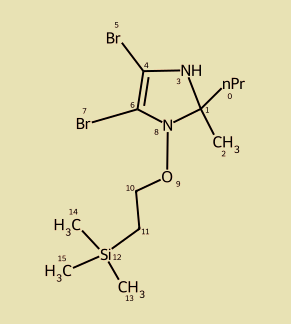 CCCC1(C)NC(Br)=C(Br)N1OCC[Si](C)(C)C